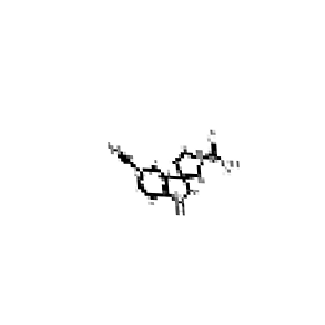 N#Cc1ccc2c(c1)C1(CCN(C(=O)O)C1)CN2